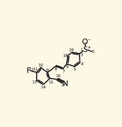 C[S+]([O-])c1ccc(/C=C/c2cc(F)ccc2C#N)cc1